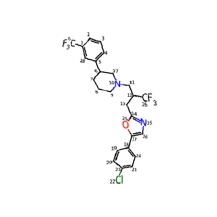 FC(F)(F)c1cccc(C2CCCN(CC(Cc3ncc(-c4ccc(Cl)cc4)o3)C(F)(F)F)C2)c1